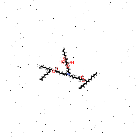 CCCCCCCCC(CCCCCC)COC(=O)CCCCCCCN(CCCCCCCC(=O)OCC(CCCCCC)CCCCCCCC)CCCCOCC(O)C(O)COCCCCC